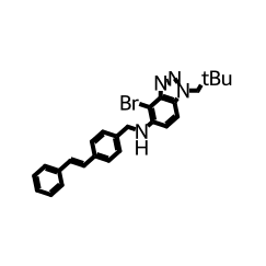 CC(C)(C)Cn1nnc2c(Br)c(NCc3ccc(/C=C/c4ccccc4)cc3)ccc21